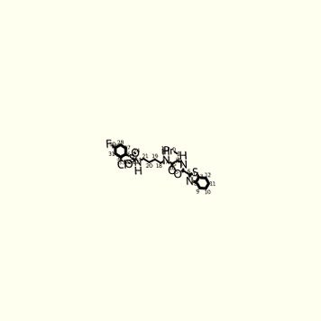 CC(C)C[C@H](NC(=O)c1nc2ccccc2s1)C(=O)NCCCCNS(=O)(=O)c1ccc(F)cc1Cl